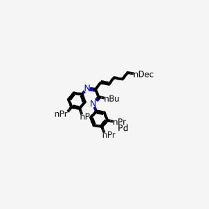 CCCCCCCCCCCCCC=CC(=Nc1ccc(CCC)c(CCC)c1)C(CCCC)=Nc1ccc(CCC)c(CCC)c1.[Pd]